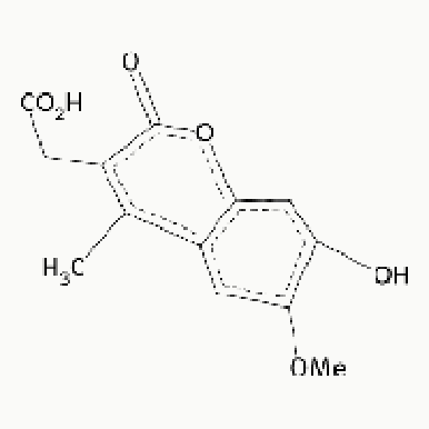 COc1cc2c(C)c(CC(=O)O)c(=O)oc2cc1O